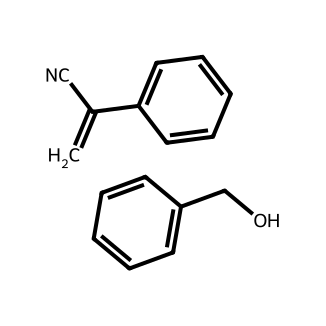 C=C(C#N)c1ccccc1.OCc1ccccc1